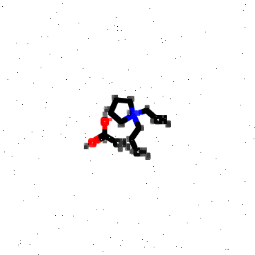 CC(=O)[O-].CCC[N+]1(CC)CCCC1